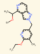 CCOC(C)c1nccc2nn(Cc3cnc(OCC(F)(F)F)c(C)c3)cc12